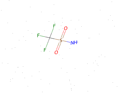 [NH]S(=O)(=O)C(F)(F)F